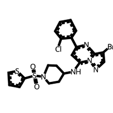 O=S(=O)(c1cccs1)N1CCC(Nc2cc(-c3ccccc3Cl)nc3c(Br)cnn23)CC1